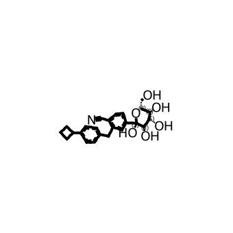 N#Cc1ccc([C@]2(O)O[C@H](CO)[C@@H](O)[C@H](O)[C@H]2O)cc1Cc1ccc(C2CCC2)cc1